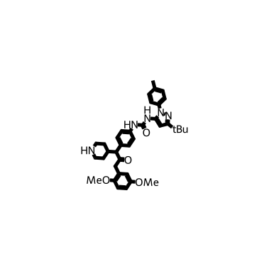 COc1ccc(OC)c(CC(=O)C(c2ccc(NC(=O)Nc3cc(C(C)(C)C)nn3-c3ccc(C)cc3)cc2)C2CCNCC2)c1